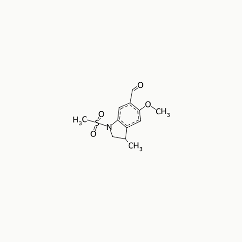 COc1cc2c(cc1C=O)N(S(C)(=O)=O)CC2C